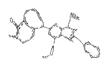 CCOc1cc(-c2cccc3c(=O)[nH]ccc23)cc2c(NC)nc(-c3cccnc3)nc12